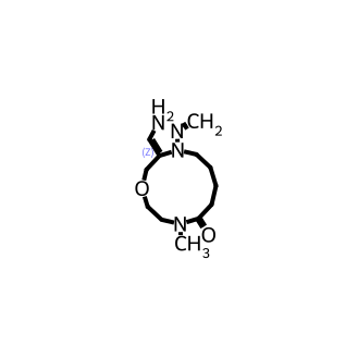 C=NN1CCCCC(=O)N(C)CCOC/C1=C/N